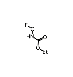 CCOC(=O)NOF